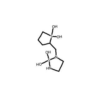 OS1(O)CCCC1CN1CCNS1(O)O